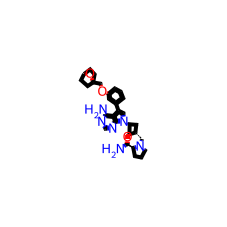 NC(=O)[C@@H]1CCCN1C[C@H]1C[C@H](n2cc(-c3cccc(OCC45CCC(CC4)O5)c3)c3c(N)ncnc32)C1